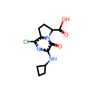 O=C(O)C1CCc2c(Cl)nc(NC3CCC3)c(=O)n21